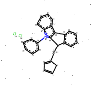 C1=CC[C]([Zr+2][CH]2c3ccccc3-c3c2n(-c2ccccc2)c2ccccc32)=C1.[Cl-].[Cl-]